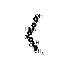 Cn1ccc(C(=O)Nc2ccc(C(=O)c3ccc(NC(=O)c4ccc(N5CCC(O)CC5)cc4)cc3)cc2)n1